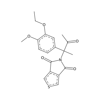 CCOc1cc(C(C)(C(C)=O)N2C(=O)c3cscc3C2=O)ccc1OC